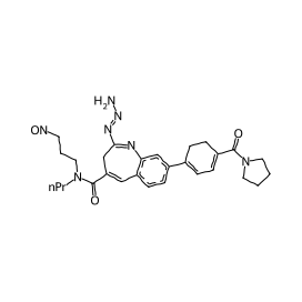 CCCN(CCCN=O)C(=O)C1=Cc2ccc(C3=CC=C(C(=O)N4CCCC4)CC3)cc2N=C(N=NN)C1